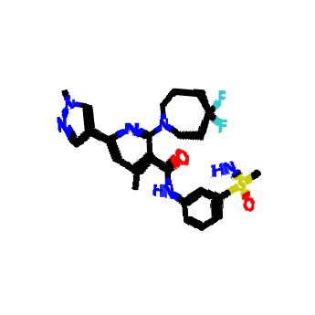 Cc1cc(-c2cnn(C)c2)nc(N2CCCC(F)(F)CC2)c1C(=O)Nc1cccc(S(C)(=N)=O)c1